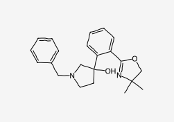 CC1(C)COC(c2ccccc2C2(O)CCN(Cc3ccccc3)C2)=N1